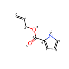 C=CCOC(=O)C1=CC=C[N]1